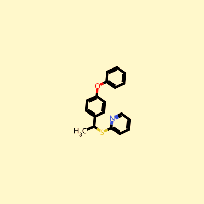 CC(Sc1ccccn1)c1ccc(Oc2ccccc2)cc1